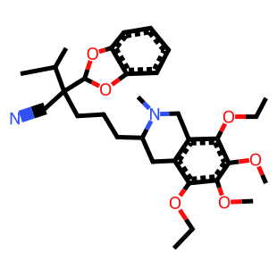 CCOc1c2c(c(OCC)c(OC)c1OC)CN(C)C(CCCC(C#N)(C(C)C)C1Oc3ccccc3O1)C2